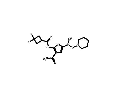 NC(=O)c1cc(N(O)SN2CCCCC2)sc1NC(=O)C1CC(F)(F)C1